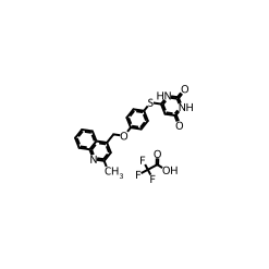 Cc1cc(COc2ccc(Sc3cc(=O)[nH]c(=O)[nH]3)cc2)c2ccccc2n1.O=C(O)C(F)(F)F